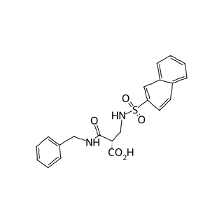 O=C(O)[C@@H](CNS(=O)(=O)c1ccc2ccccc2c1)C(=O)NCc1ccccc1